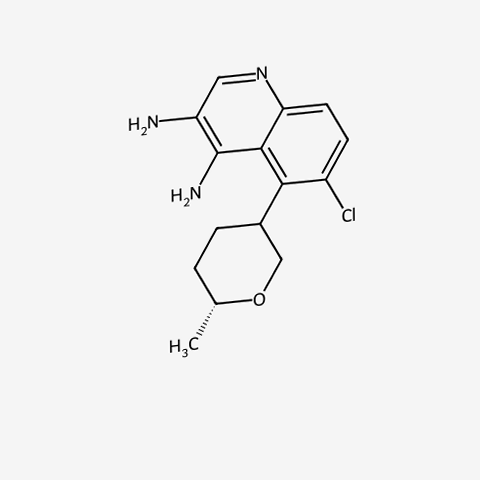 C[C@@H]1CCC(c2c(Cl)ccc3ncc(N)c(N)c23)CO1